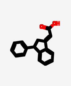 O=C(O)C=C1CC(c2ccccc2)c2ccccc21